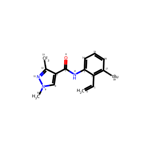 C=Cc1c(NC(=O)c2cn(C)nc2C(F)(F)F)cccc1C(C)(C)C